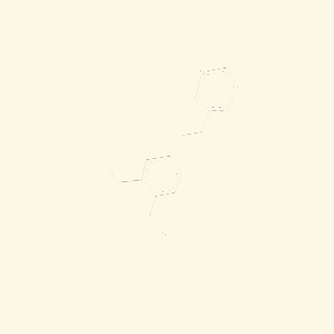 COc1cc(OCc2cccnc2)ccc1CN